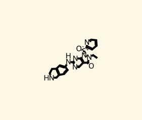 CCn1c(=O)c2cnc(Nc3ccc4c(c3)CCNC4)nc2n1[S+]([O-])c1ccccn1